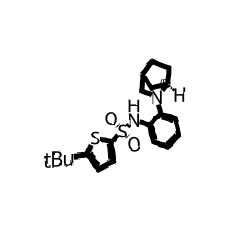 CC(C)(C)c1ccc(S(=O)(=O)Nc2ccccc2N2CC3CC[C@@H]2C3)s1